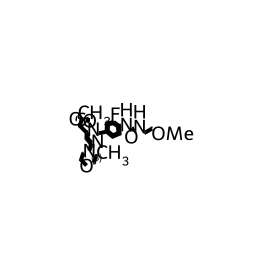 COCCNC(=O)Nc1ccc(-c2nc(CS(C)(=O)=O)cc(N3CCOC[C@@H]3C)n2)cc1F